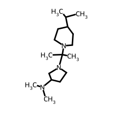 CC(C)C1CCN(C(C)(C)N2CCC(N(C)C)C2)CC1